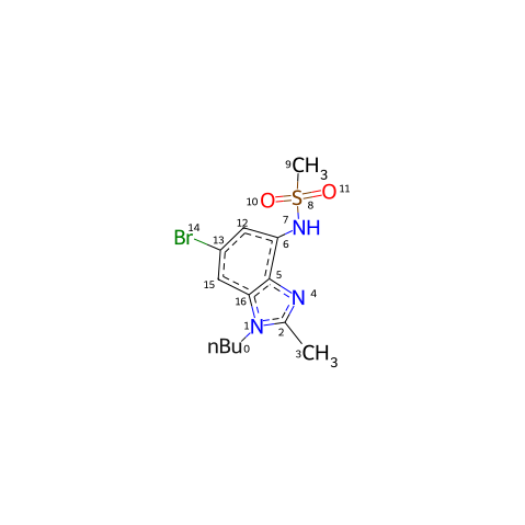 CCCCn1c(C)nc2c(NS(C)(=O)=O)cc(Br)cc21